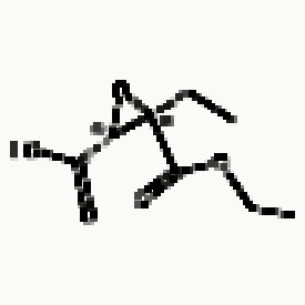 CCOC(=O)[C@]1(CC)O[C@H]1C(=O)O